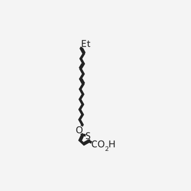 CCC=CCC=CCC=CCCCCCCCCOc1ccc(C(=O)O)s1